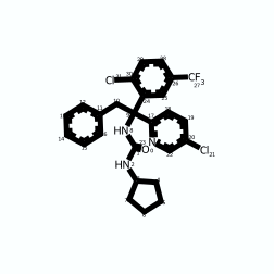 O=C(NC1CCCC1)NC(Cc1ccccc1)(c1ccc(Cl)cn1)c1cc(C(F)(F)F)ccc1Cl